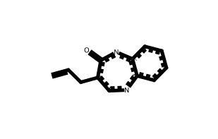 C=CCc1cnc2ccccc2nc1=O